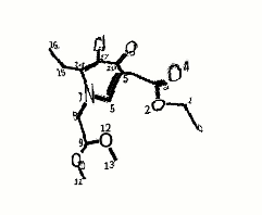 CCOC(=O)c1cn(CC(OC)OC)c(CC)c(Cl)c1=O